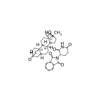 C[C@]12COC(=O)C[C@@H]1CC[C@@H]1[C@@H]2CC[C@@]2(C)[C@H]1CC[C@]2(C)O.O=C1CCC(N2C(=O)c3ccccc3C2=O)C(=O)N1